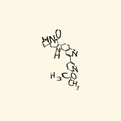 CC(C)Oc1ccc(-c2cc3c(cn2)CCc2c-3[nH]c3c2C(=O)NC2(CCC2)C3)cn1